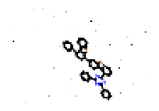 c1ccc(-c2nc(-c3ccccc3)nc(-c3cccc4sc5cc(-c6ccc(-c7ccccc7)c7c6sc6ccccc67)ccc5c34)n2)cc1